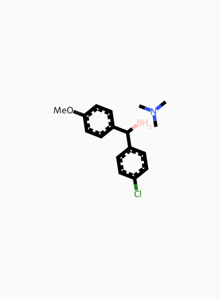 BC(c1ccc(Cl)cc1)c1ccc(OC)cc1.CN(C)C